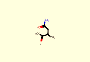 [CH2]C(CC(N)=O)C(C)=O